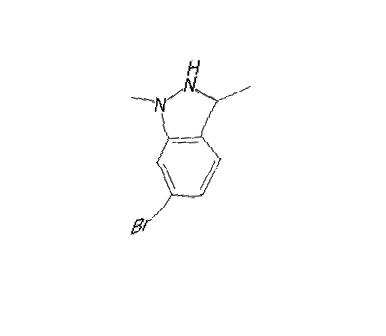 CC1NN(C)c2cc(Br)ccc21